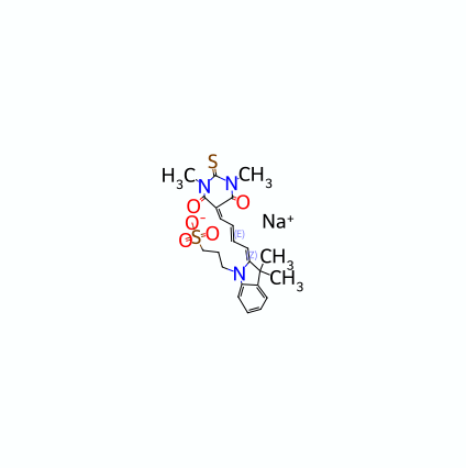 CN1C(=O)C(=C/C=C/C=C2\N(CCCS(=O)(=O)[O-])c3ccccc3C2(C)C)C(=O)N(C)C1=S.[Na+]